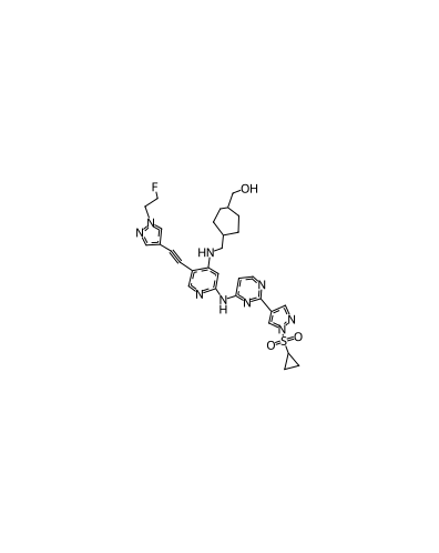 O=S(=O)(C1CC1)n1cc(-c2nccc(Nc3cc(NCC4CCC(CO)CC4)c(C#Cc4cnn(CCF)c4)cn3)n2)cn1